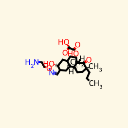 CCC[C@@]1(C)CC[C@H]2[C@@H](CCC3C[C@@H](O)C(/C=N\OCCN)C[C@@]32C)C1=O.O=C(O)C(=O)O